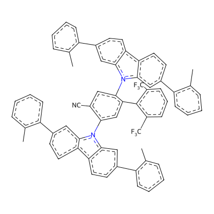 Cc1ccccc1-c1ccc2c3ccc(-c4ccccc4C)cc3n(-c3cc(-c4c(C(F)(F)F)cccc4C(F)(F)F)c(-n4c5cc(-c6ccccc6C)ccc5c5ccc(-c6ccccc6C)cc54)cc3C#N)c2c1